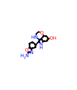 Nc1nc2cc(-c3[nH]c4cc(O)cc5c4c3NCCO5)ccc2o1